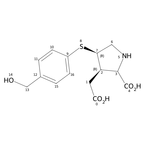 O=C(O)C[C@@H]1C(C(=O)O)NC[C@@H]1Sc1ccc(CO)cc1